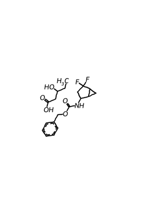 CCC(O)CC(=O)O.O=C(NC1CC(F)(F)C2CC12)OCc1ccccc1